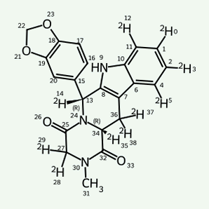 [2H]c1c([2H])c([2H])c2c3c([nH]c2c1[2H])[C@@]([2H])(c1ccc2c(c1)OCO2)N1C(=O)C([2H])([2H])N(C)C(=O)[C@@]1([2H])C3([2H])[2H]